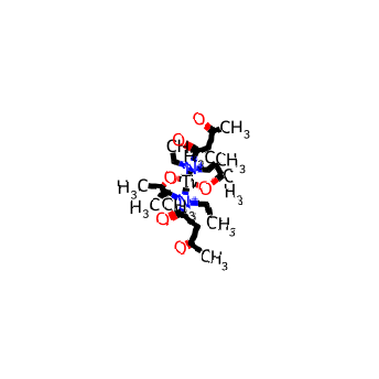 CC[N+](CC)(C(=O)CC(C)=O)[Ti]([O]C(C)C)([O]C(C)C)[N+](CC)(CC)C(=O)CC(C)=O